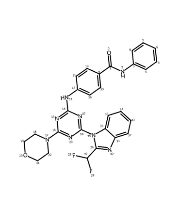 O=C(Nc1ccccc1)c1ccc(Nc2nc(N3CCOCC3)nc(-n3c(C(F)F)nc4ccccc43)n2)cc1